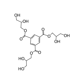 O=C(OCC(O)CO)c1cc(C(=O)OCC(O)CO)cc(C(=O)OCC(O)CO)c1